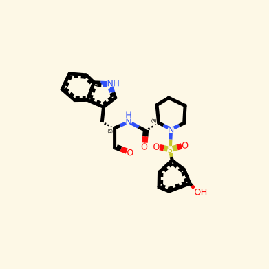 O=C[C@H](Cc1c[nH]c2ccccc12)NC(=O)[C@@H]1CCCCN1S(=O)(=O)c1cccc(O)c1